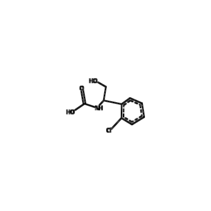 O=C(O)NC(CO)c1ccccc1Cl